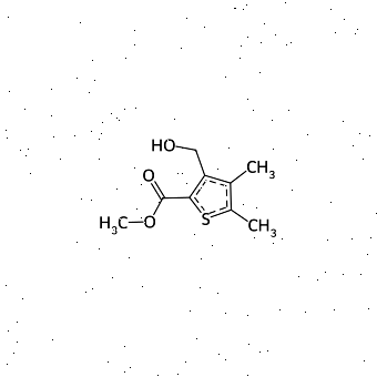 COC(=O)c1sc(C)c(C)c1CO